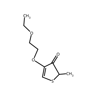 CCOCCOC1=CSC(C)C1=O